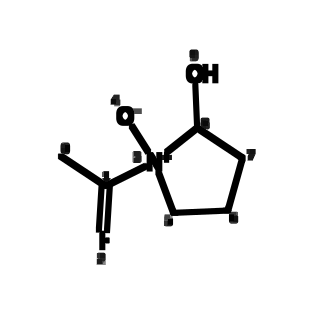 CC(=[I])[N+]1([O-])CCCC1O